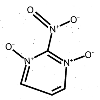 O=[N+]([O-])c1[n+]([O-])ccc[n+]1[O-]